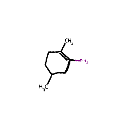 CC1=C(P)CC(C)CC1